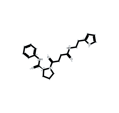 O=C(CCC(=O)N1CCC[C@H]1C(=O)Nc1ccccc1)NCCc1ccco1